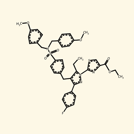 CCOC(=O)c1csc(-n2nc(-c3ccc(F)cc3)c(Cc3ccc(S(=O)(=O)N(Cc4ccc(OC)cc4)Cc4ccc(OC)cc4)cc3)c2CC)n1